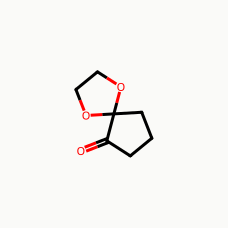 O=C1CCCC12OCCO2